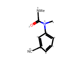 CNC(=O)N(C)c1cccc(C#N)c1